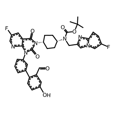 CC(C)(C)OC(=O)N(Cc1cn2cc(F)ccc2n1)[C@H]1CC[C@@H](n2c(=O)c3cc(F)cnc3n(-c3cccc(-c4ccc(O)cc4C=O)c3)c2=O)CC1